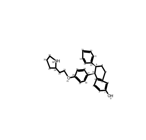 Oc1ccc2c(c1)CC[C@H](c1ccccc1)[C@@H]2c1ccc(OCCC2CCCN2)cc1